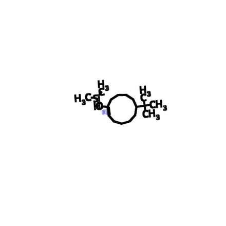 C[SiH](C)O/C1=C/CCCCC(C(C)(C)C)CCCC1